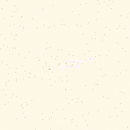 Cc1nc(N2CC3CC2CN3)nc2ncc(NC(=O)COc3ccc(Cl)cc3)nc12